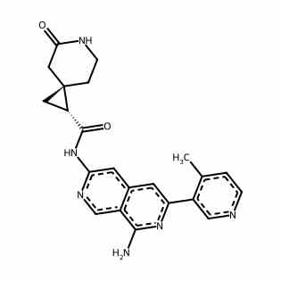 Cc1ccncc1-c1cc2cc(NC(=O)[C@@H]3C[C@@]34CCNC(=O)C4)ncc2c(N)n1